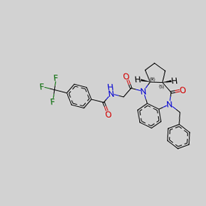 O=C(NCC(=O)N1c2ccccc2N(Cc2ccccc2)C(=O)[C@H]2CCC[C@H]21)c1ccc(C(F)(F)F)cc1